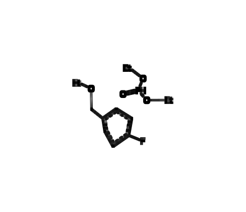 CCOCc1ccc(F)cc1.CCO[PH](=O)OCC